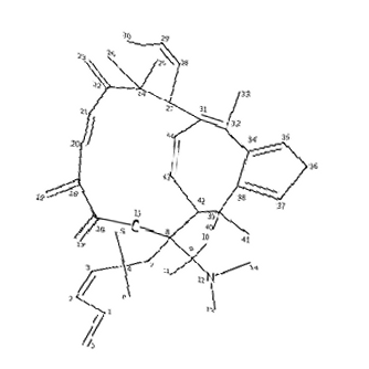 C=C/C=C\C(C)(C)CC1(C(C)(C)N(C)C)CC(=C)C(=C)/C=C\C(=C)C(C)(C)C(/C=C\C)C2=C(\C)C3=CCC=C3C(C)(C)C1/C=C\2